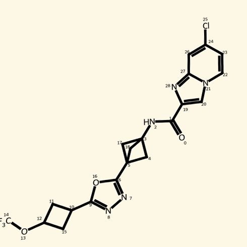 O=C(NC12CC(c3nnc(C4CC(OC(F)(F)F)C4)o3)(C1)C2)c1cn2ccc(Cl)cc2n1